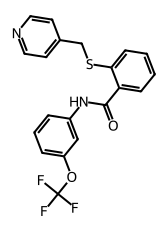 O=C(Nc1cccc(OC(F)(F)F)c1)c1ccccc1SCc1ccncc1